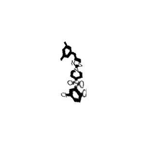 Cc1cc(C)cc(Cc2csc(N3CCC(S(=O)(=O)c4cc(Cl)ccc4Cl)CC3)n2)c1